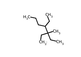 [CH2]CC(C)(CC)C(CC)CCC